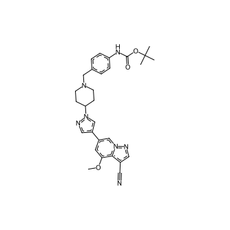 COc1cc(-c2cnn(C3CCN(Cc4ccc(NC(=O)OC(C)(C)C)cc4)CC3)c2)cn2ncc(C#N)c12